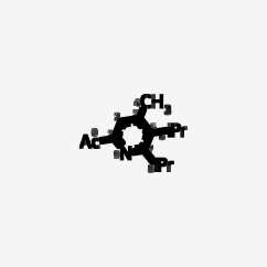 CC(=O)c1cc(C)c(C(C)C)c(C(C)C)n1